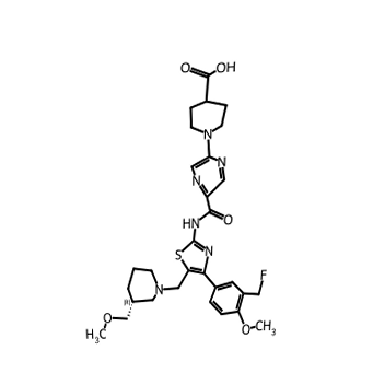 COC[C@@H]1CCCN(Cc2sc(NC(=O)c3cnc(N4CCC(C(=O)O)CC4)cn3)nc2-c2ccc(OC)c(CF)c2)C1